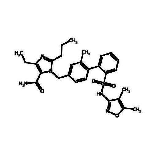 CCCc1nc(CC)c(C(N)=O)n1Cc1ccc(-c2ccccc2S(=O)(=O)Nc2noc(C)c2C)c(C)c1